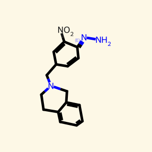 N/N=C1\C=CC(CN2CCc3ccccc3C2)C=C1[N+](=O)[O-]